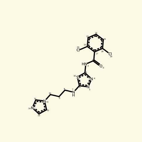 O=C(Nc1nnc(NCCCn2ccnc2)s1)c1c(Cl)cccc1Cl